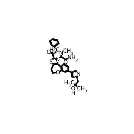 CN(C)C(C(N)=O)N1C2=C(CCOc3cc(-c4cnn(CC(C)(C)O)c4)ccc32)SC1C(=O)Oc1ccccc1